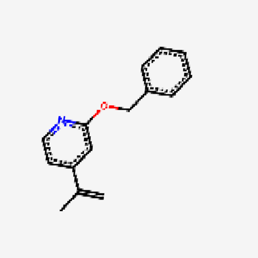 C=C(C)c1ccnc(OCc2ccccc2)c1